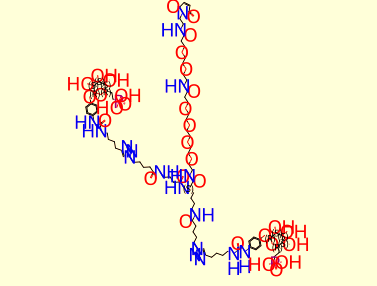 O=C(CCCCn1cc(CCCCNC(=O)Nc2ccc(O[C@H]3O[C@H](CCP(=O)(O)O)[C@@H](O)[C@H](O)[C@@H]3O)cc2)nn1)NCCCC[C@H](NC(=O)CCCNC(=O)CCCCn1cc(CCCCNC(=O)Nc2ccc(O[C@H]3O[C@H](CCP(=O)(O)O)[C@@H](O)[C@H](O)[C@@H]3O)cc2)nn1)C(=O)NCCOCCOCCOCCOCCC(=O)NCCOCCOCCC(=O)NCCN1C(=O)C=CC1=O